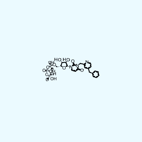 O=c1ccn([C@@H]2O[C@H](COP(=O)(O)OP(=O)(O)OP(=O)(O)O)[C@H](O)[C@@H]2O)c(=O)n1Cc1cc(Cc2ccccc2)ccn1